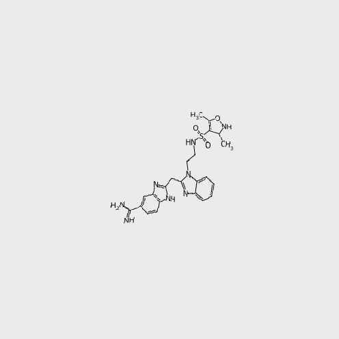 CC1=C(S(=O)(=O)NCCn2c(Cc3nc4cc(C(=N)N)ccc4[nH]3)nc3ccccc32)C(C)NO1